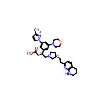 Cc1ccn(-c2cc([C@H](CC(=O)O)CN3CC[C@@H](CCc4ccc5c(n4)NCCC5)C3)cc(N3CCOCC3)c2)n1